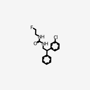 O=C(NCCF)NCC(c1ccccc1)c1cccc(Cl)c1